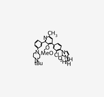 [2H]C([2H])([2H])n1ccn(-c2ccc(-c3cc(C)nc(-c4cccc(N5CCN(C(C)(C)C)CC5)c4)c3OCOC)cc2Cl)c1=O